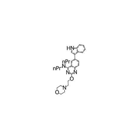 CCCN(CCC)c1nc(OCCN2CCOCC2)nc2ccc(-c3c[nH]c4ccccc34)cc12